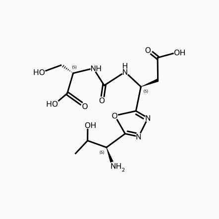 CC(O)[C@H](N)c1nnc([C@H](CC(=O)O)NC(=O)N[C@@H](CO)C(=O)O)o1